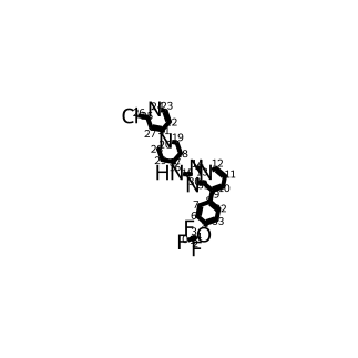 FC(F)(F)Oc1ccc(-c2cccn3nc(NC4CCN(c5ccnc(Cl)c5)CC4)nc23)cc1